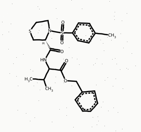 Cc1ccc(S(=O)(=O)N2CCSC[C@H]2C(=O)NC(C(=O)OCc2ccccc2)C(C)C)cc1